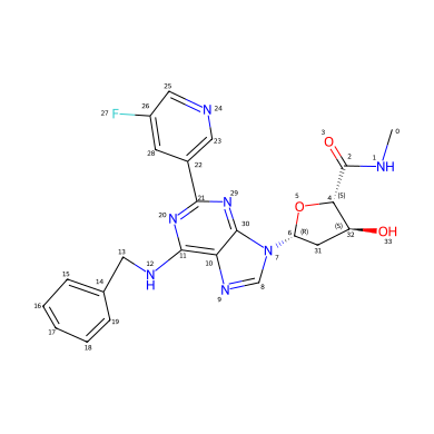 CNC(=O)[C@H]1O[C@@H](n2cnc3c(NCc4ccccc4)nc(-c4cncc(F)c4)nc32)C[C@@H]1O